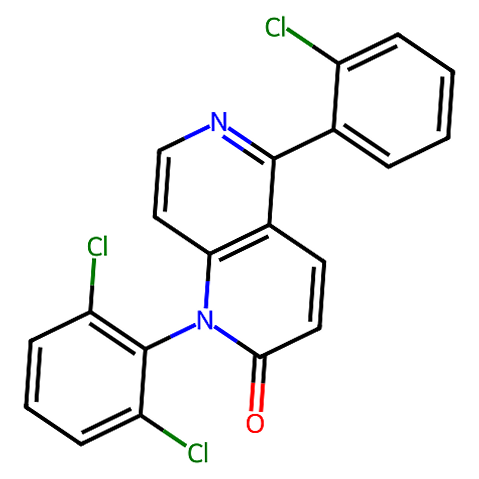 O=c1ccc2c(-c3ccccc3Cl)nccc2n1-c1c(Cl)cccc1Cl